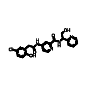 O=C(Cc1cc(Cl)ccc1O)Nc1ccnc(C(=O)NC(CO)c2ccccn2)c1